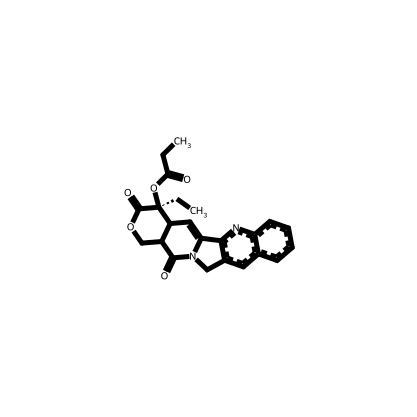 CCC(=O)O[C@]1(CC)C(=O)OCC2C(=O)N3Cc4cc5ccccc5nc4C3=CC21